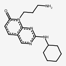 NCCCn1c(=O)ccc2cnc(NC3CCCCC3)nc21